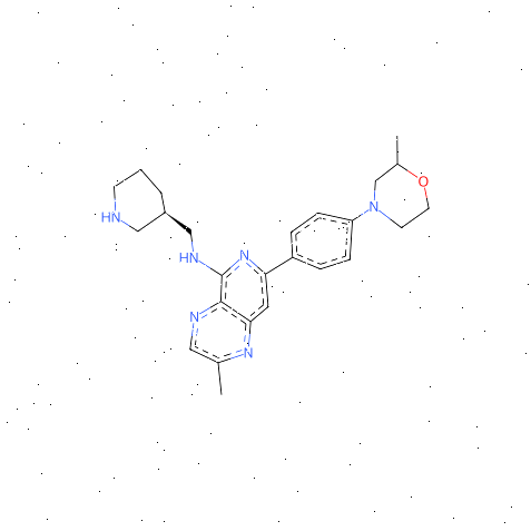 Cc1cnc2c(NC[C@@H]3CCCNC3)nc(-c3ccc(N4CCOC(C)C4)cc3)cc2n1